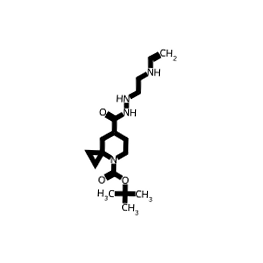 C=CNCCNNC(=O)C1CCN(C(=O)OC(C)(C)C)C2(CC2)C1